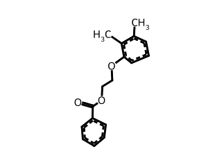 Cc1cccc(OCCOC(=O)c2ccccc2)c1C